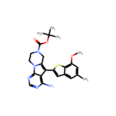 COc1cc(C)cc2cc(-c3c4n(c5ncnc(N)c35)CCN(C(=O)OC(C)(C)C)C4)sc12